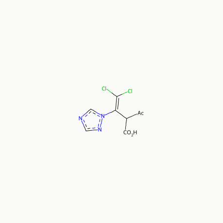 CC(=O)C(C(=O)O)C(=C(Cl)Cl)n1cncn1